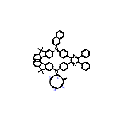 C=C1/C=C\C=C/C/C=C\C(N(c2ccc(-c3nc(-c4ccccc4)c(-c4ccccc4)nc3-c3ccc(N(c4ccc5c(c4)C(C)(C)c4ccccc4-5)c4ccc5ccccc5c4)cc3)cc2)c2ccc3c(c2)C(C)(C)c2ccccc2-3)=C/1